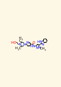 C[C@@H]1CN(c2ccc(C(=O)Nc3cc(-c4nc5ccccc5[nH]4)n(C)n3)cn2)C[C@H](C)N1CCO